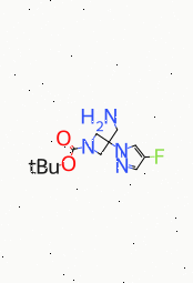 CC(C)(C)OC(=O)N1CC(CN)(n2cc(F)cn2)C1